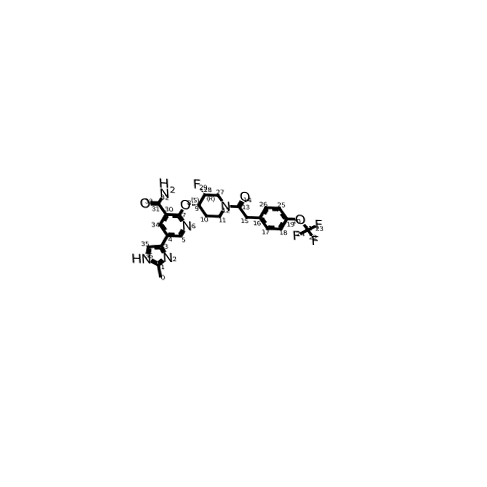 Cc1nc(-c2cnc(O[C@H]3CCN(C(=O)Cc4ccc(OC(F)(F)F)cc4)C[C@H]3F)c(C(N)=O)c2)c[nH]1